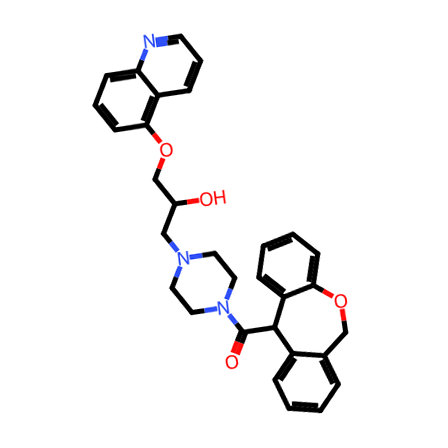 O=C(C1c2ccccc2COc2ccccc21)N1CCN(CC(O)COc2cccc3ncccc23)CC1